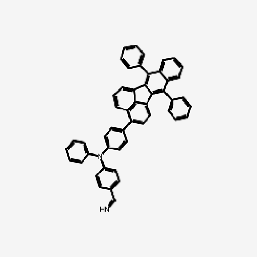 N=Cc1ccc(N(c2ccccc2)c2ccc(-c3ccc4c5c(cccc35)-c3c-4c(-c4ccccc4)c4ccccc4c3-c3ccccc3)cc2)cc1